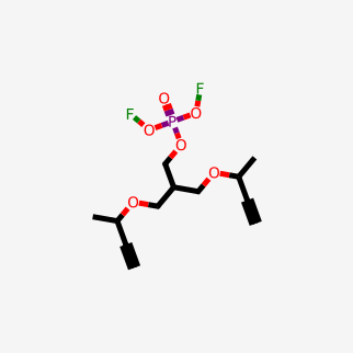 C#CC(C)OCC(COC(C)C#C)COP(=O)(OF)OF